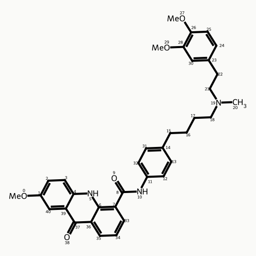 COc1ccc2[nH]c3c(C(=O)Nc4ccc(CCCCN(C)CCc5ccc(OC)c(OC)c5)cc4)cccc3c(=O)c2c1